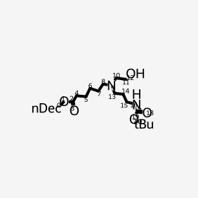 CCCCCCCCCCOC(=O)CCCCCN(CCO)CCCNC(=O)OC(C)(C)C